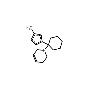 Cc1ccc(C2(N3CC=CCC3)CCCCC2)s1